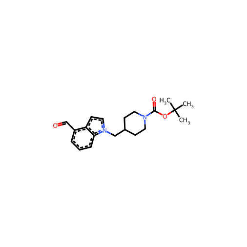 CC(C)(C)OC(=O)N1CCC(Cn2ccc3c(C=O)cccc32)CC1